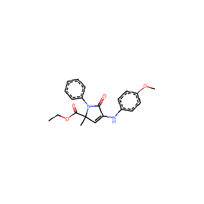 CCOC(=O)C1(C)C=C(Nc2ccc(OC)cc2)C(=O)N1c1ccccc1